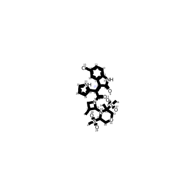 CC1CN(C(=O)/C(=C2\C(=O)Nc3ccc(Cl)cc32)c2ccc[nH]2)C1N1C(S(C)(=O)=O)COCC1(C)S(C)(=O)=O